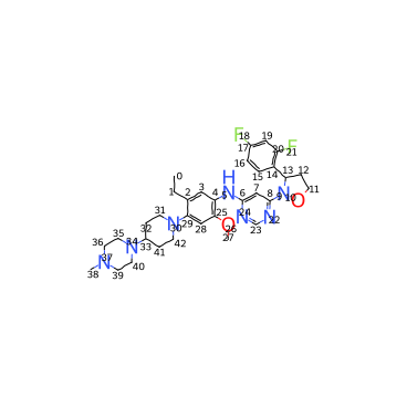 CCc1cc(Nc2cc(N3OCCC3c3ccc(F)cc3F)ncn2)c(OC)cc1N1CCC(N2CCN(C)CC2)CC1